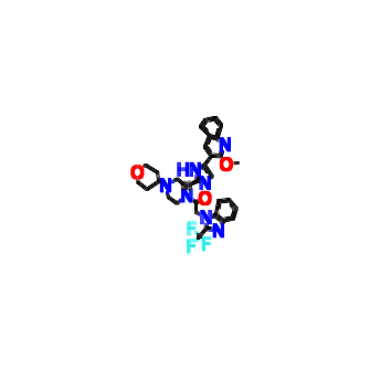 COc1nc2ccccc2cc1-c1cnc([C@@H]2CN(C3CCOCC3)CCN2C(=O)Cn2c(C(F)(F)F)nc3ccccc32)[nH]1